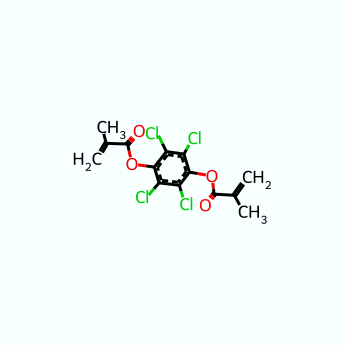 C=C(C)C(=O)Oc1c(Cl)c(Cl)c(OC(=O)C(=C)C)c(Cl)c1Cl